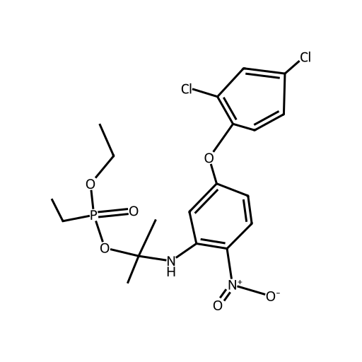 CCOP(=O)(CC)OC(C)(C)Nc1cc(Oc2ccc(Cl)cc2Cl)ccc1[N+](=O)[O-]